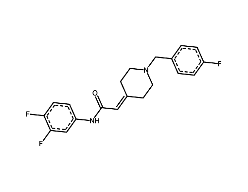 O=C(C=C1CCN(Cc2ccc(F)cc2)CC1)Nc1ccc(F)c(F)c1